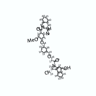 COc1cc2c(cc1OCc1cccc(COCCC(=O)N3C[C@@H](CCl)c4c3cc(O)c3ccccc43)c1)N=C[C@@H]1Cc3ccccc3CN1C2=O